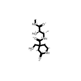 CNC(=O)[C@H](O)[C@H](C)NC(=O)C1(CO)CCNC(=O)C1